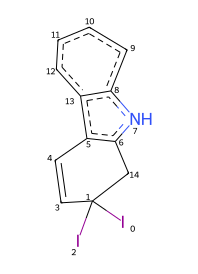 IC1(I)C=Cc2c([nH]c3ccccc23)C1